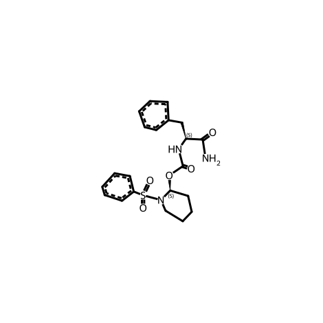 NC(=O)[C@H](Cc1ccccc1)NC(=O)O[C@H]1CCCCN1S(=O)(=O)c1ccccc1